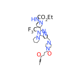 CC#CC(=O)CCC(=O)N1CCN(Cc2cc3c(N4CCCCC4)nc(-c4cnc(NC(=O)OCC)cc4C(F)(F)F)nn3c2)CC1